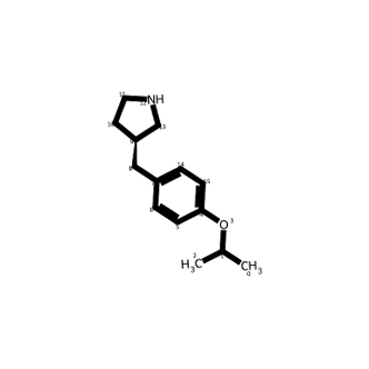 CC(C)Oc1ccc(C[C@H]2CCNC2)cc1